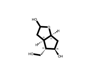 OC[C@@H]1[C@H]2CC(O)O[C@H]2C[C@H]1O